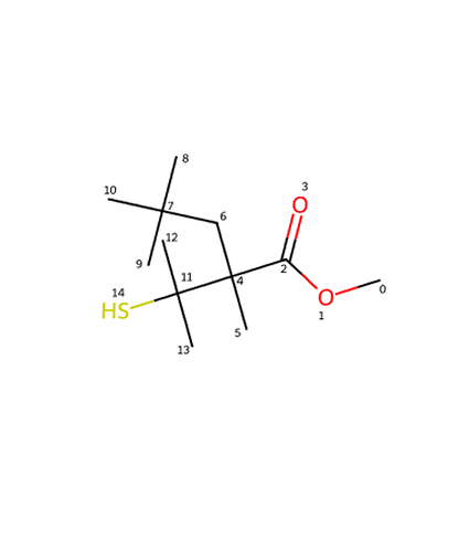 COC(=O)C(C)(CC(C)(C)C)C(C)(C)S